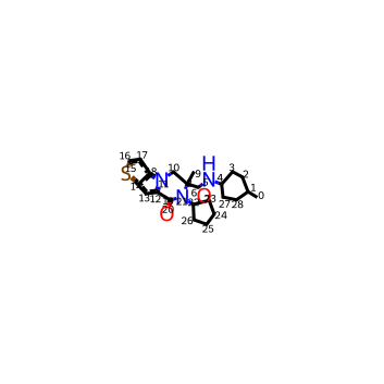 CC1CCC(NC(=O)C2(C)Cn3c(cc4sccc43)C(=O)N2C2CCCC2)CC1